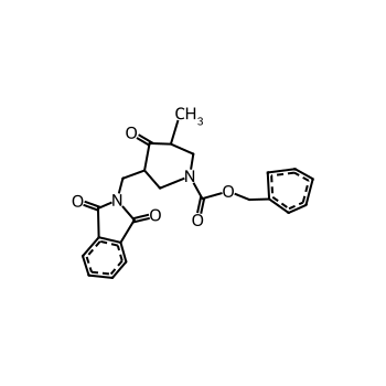 CC1CN(C(=O)OCc2ccccc2)CC(CN2C(=O)c3ccccc3C2=O)C1=O